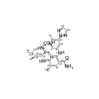 Cc1ncc(Nc2nc(N[C@@H]([C@H](C)NC(=O)O)[C@H]3CC3(C)C)c(F)cc2C(N)=O)cc1-n1nccn1